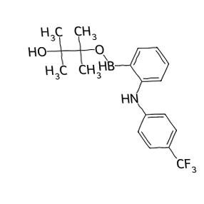 CC(C)(O)C(C)(C)OBc1ccccc1Nc1ccc(C(F)(F)F)cc1